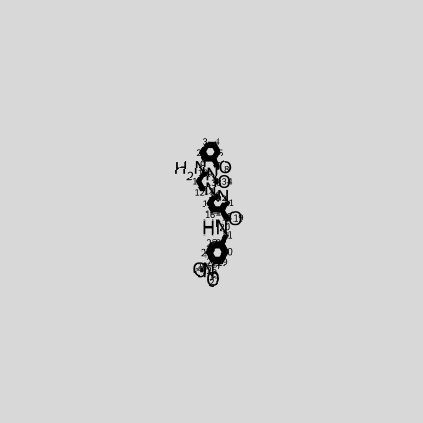 Nc1ccccc1C(=O)N1CCCN(c2ccc(C(=O)NCc3ccc([N+](=O)[O-])cc3)cn2)C1=O